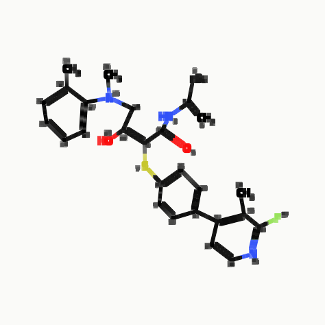 C=C(CCCC)NC(=O)/C(Sc1ccc(-c2ccnc(F)c2C)cc1)=C(/O)CN(C)c1ccccc1C